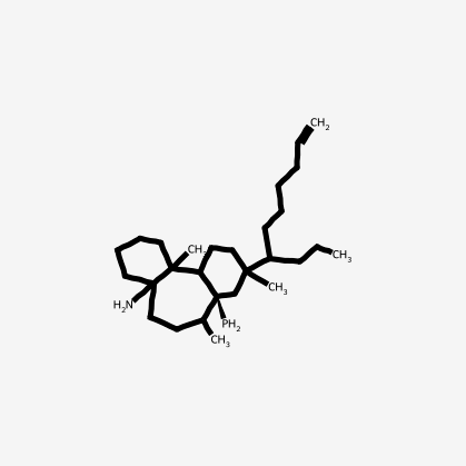 C=CCCCCC(CCC)C1(C)CCC2C3(C)CCCCC3(N)CCC(C)[C@@]2(P)C1